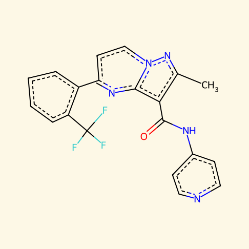 Cc1nn2ccc(-c3ccccc3C(F)(F)F)nc2c1C(=O)Nc1ccncc1